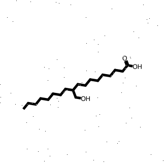 CCCCCCCCC(CO)CCCCCCCCC(=O)O